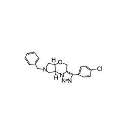 Clc1ccc(-c2nnn3c2CO[C@@H]2CN(Cc4ccccc4)C[C@H]23)cc1